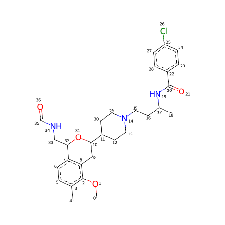 COc1c(C)ccc2c1CC(C1CCN(CCC(C)NC(=O)c3ccc(Cl)cc3)CC1)OC2CNC=O